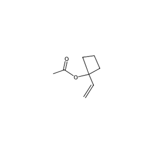 C=CC1(OC(C)=O)CCC1